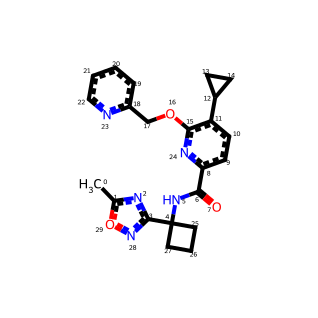 Cc1nc(C2(NC(=O)c3ccc(C4CC4)c(OCc4ccccn4)n3)CCC2)no1